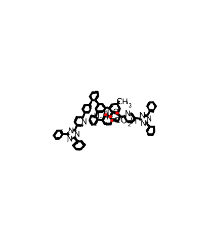 C=C(/C=C\C(=C/C)c1ccc(-c2nc(-c3ccccc3)nc(-c3ccccc3)n2)cn1)C1=CCC(C)C=C1c1cc(-c2ccccc2-c2ccc(-c3ccc(-c4nc(-c5ccccc5)nc(-c5ccccc5)n4)cn3)cc2)cc(-c2ccccc2-c2ccc(C(=O)O)nc2)c1